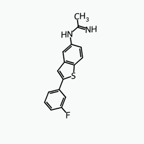 CC(=N)Nc1ccc2sc(-c3cccc(F)c3)cc2c1